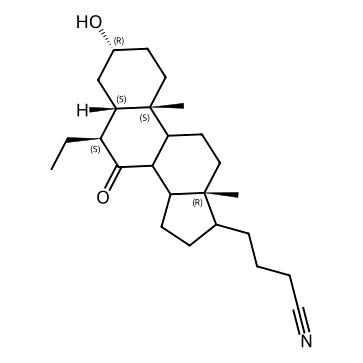 CC[C@@H]1C(=O)C2C3CCC(CCCC#N)[C@@]3(C)CCC2[C@@]2(C)CC[C@@H](O)C[C@@H]12